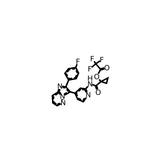 O=C(OC1(C(=O)Nc2cc(-c3c(-c4ccc(F)cc4)nc4cccnn34)ccn2)CC1)C(F)(F)F